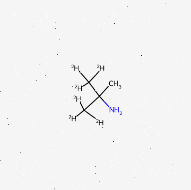 [2H]C([2H])([2H])C(C)(N)C([2H])([2H])[2H]